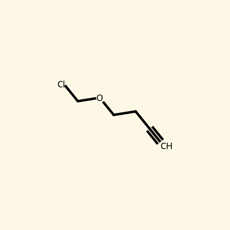 C#CCCOCCl